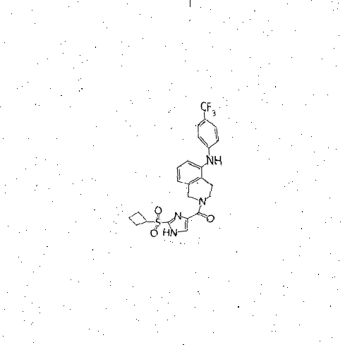 O=C(c1c[nH]c(S(=O)(=O)C2CCC2)n1)N1CCc2c(cccc2Nc2ccc(C(F)(F)F)cc2)C1